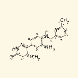 Cc1cccc(CNc2ccc(C3=NNC(=O)CC3C)cc2N)n1